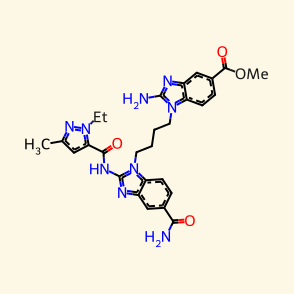 CCn1nc(C)cc1C(=O)Nc1nc2cc(C(N)=O)ccc2n1CCCCn1c(N)nc2cc(C(=O)OC)ccc21